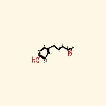 Oc1ccc(CCCC2CO2)cc1